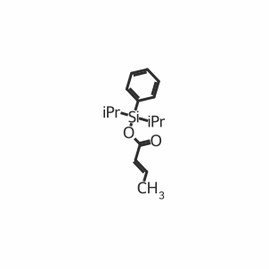 CC=CC(=O)O[Si](c1ccccc1)(C(C)C)C(C)C